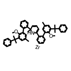 COc1c(-c2ccccc2C2=CC=CC(C)(c3ccccc3-c3cc(C)cc(C(C)(C)c4ccccc4)c3OC)N2)cc(C)cc1C(C)(C)c1ccccc1.[Zr]